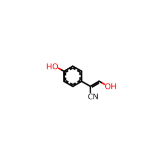 N#CC(=CO)c1ccc(O)cc1